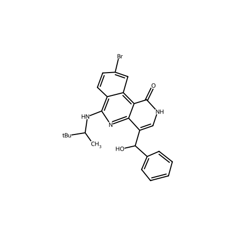 CC(Nc1nc2c(C(O)c3ccccc3)c[nH]c(=O)c2c2cc(Br)ccc12)C(C)(C)C